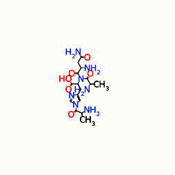 CC(N)C(=O)N(C(=O)C(N)CC(N)=O)C(Cc1cn(C(=O)C(C)N)cn1)C(=O)O